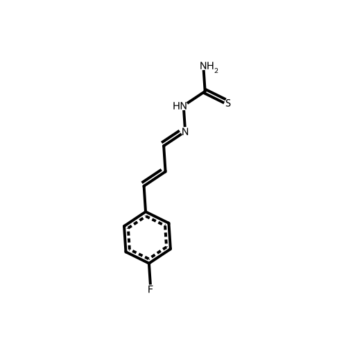 NC(=S)NN=C/C=C/c1ccc(F)cc1